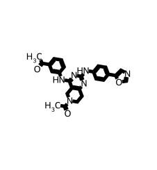 CC(=O)c1cccc(Nc2nc(Nc3ccc(-c4cnco4)cc3)nc3c2CN(C(C)=O)CC3)c1